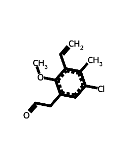 C=Cc1c(C)c(Cl)cc(CC=O)c1OC